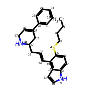 CCCCSc1ccc2[nH]ccc2c1/C=C/CC1CC(c2ccccc2)=CCN1